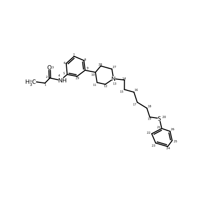 CCC(=O)Nc1cccc(C2CCN(CCCCCCSc3ccccc3)CC2)c1